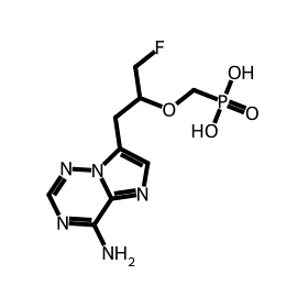 Nc1ncnn2c(CC(CF)OCP(=O)(O)O)cnc12